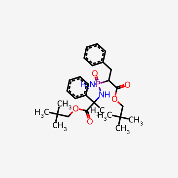 CC(C)(C)COC(=O)C(Cc1ccccc1)P(N)(=O)NC(C)(C(=O)OCC(C)(C)C)c1ccccc1